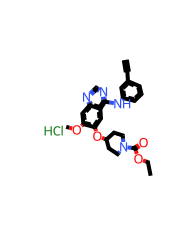 C#Cc1cccc(Nc2ncnc3cc(OC)c(OC4CCN(C(=O)OCC)CC4)cc23)c1.Cl